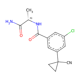 C[C@H](NC(=O)c1cc(Cl)cc(C2(C#N)CC2)c1)C(N)=O